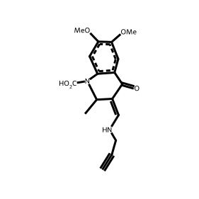 C#CCNC=C1C(=O)c2cc(OC)c(OC)cc2N(C(=O)O)C1C